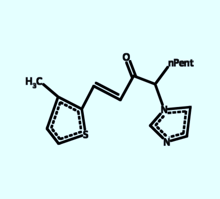 CCCCCC(C(=O)C=Cc1sccc1C)n1ccnc1